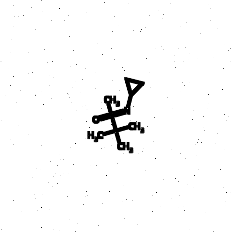 CC(C)(C)S(C)(=O)=NC1CC1